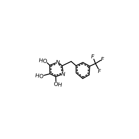 Oc1nc(Cc2cccc(C(F)(F)F)c2)nc(O)c1O